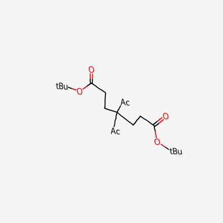 CC(=O)C(CCC(=O)OC(C)(C)C)(CCC(=O)OC(C)(C)C)C(C)=O